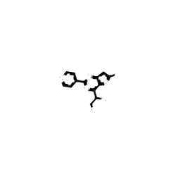 CC(C)(C)c1cc2nc(-c3ccncc3)nc(C(N)CN)c2s1